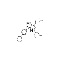 C=C(CC(C)C)C1C=C(C(CC)CCC)N=C(Nc2ccc(C3CCCCC3)cc2)C1CC